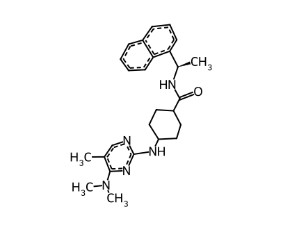 Cc1cnc(NC2CCC(C(=O)N[C@H](C)c3cccc4ccccc34)CC2)nc1N(C)C